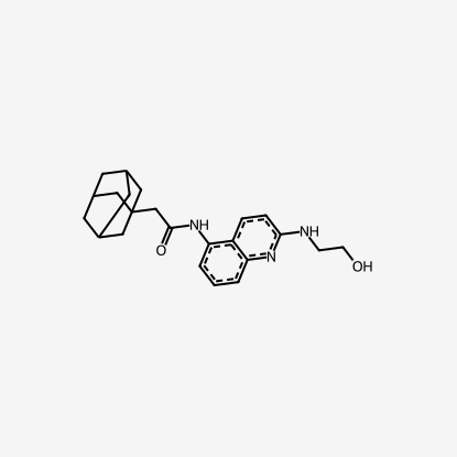 O=C(CC12CC3CC(CC(C3)C1)C2)Nc1cccc2nc(NCCO)ccc12